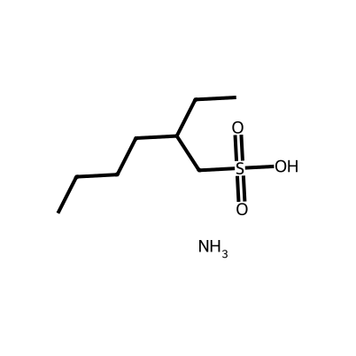 CCCCC(CC)CS(=O)(=O)O.N